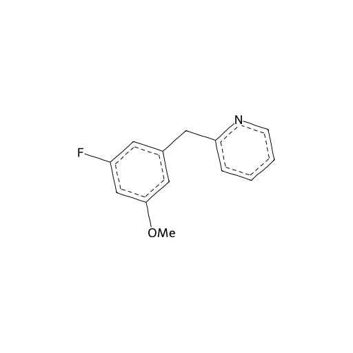 COc1cc(F)cc(Cc2ccccn2)c1